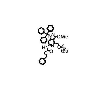 COc1nn(C(c2ccccc2)(c2ccccc2)c2ccccc2)c2cc(NC(=O)OCc3ccccc3)nc(CO[Si](C)(C)C(C)(C)C)c12